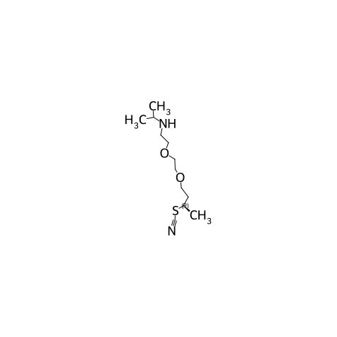 CC(C)NCCOCCOCC[C@@H](C)SC#N